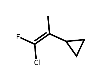 CC(=C(F)Cl)C1CC1